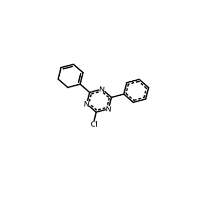 Clc1nc(C2=CC=CCC2)nc(-c2ccccc2)n1